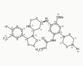 C=CC(=O)Nc1cc(N[C@@H]2CCNC(N3OCCC3c3ccc(F)c(C(F)(F)F)c3)C2)c(OC)cc1N1CCN(C(C)=O)CC1